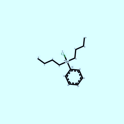 CCC[CH2][Sn]([Cl])([CH2]CCC)[c]1ccccc1